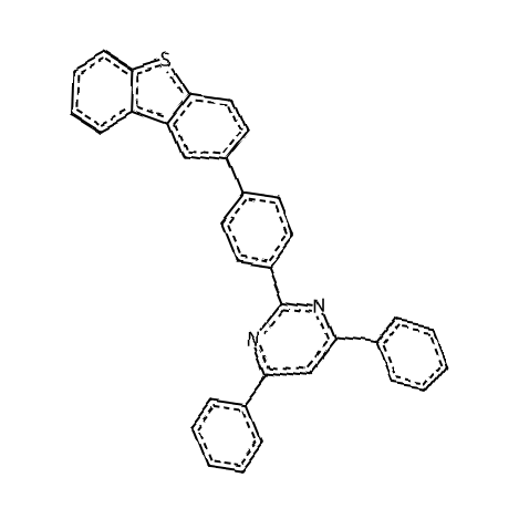 c1ccc(-c2cc(-c3ccccc3)nc(-c3ccc(-c4ccc5sc6ccccc6c5c4)cc3)n2)cc1